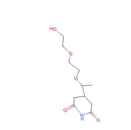 C[C](OCCOCCO)C1CC(=O)NC(=O)C1